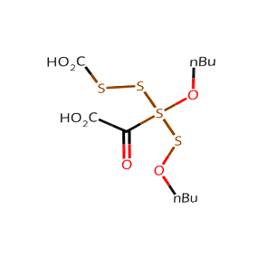 CCCCOSS(OCCCC)(SSC(=O)O)C(=O)C(=O)O